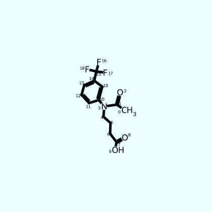 CC(=O)N(CCCC(=O)O)c1cccc(C(F)(F)F)c1